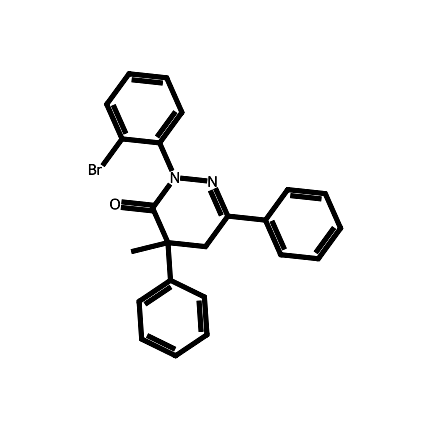 CC1(c2ccccc2)CC(c2ccccc2)=NN(c2ccccc2Br)C1=O